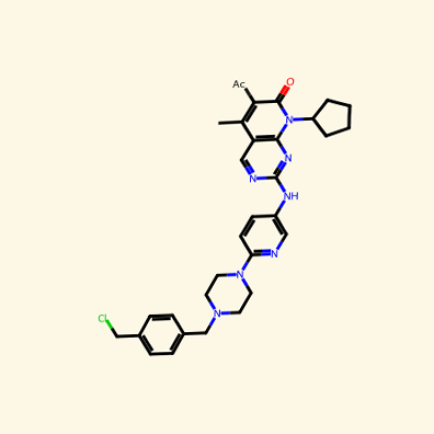 CC(=O)c1c(C)c2cnc(Nc3ccc(N4CCN(Cc5ccc(CCl)cc5)CC4)nc3)nc2n(C2CCCC2)c1=O